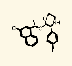 C[C@@H](O[C@H]1OCCN[C@H]1c1ccc(F)cc1)c1cc(Cl)cc2ccccc12